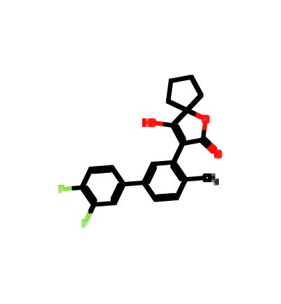 Cc1ccc(-c2ccc(F)c(F)c2)cc1C1=C(O)C2(CCCC2)OC1=O